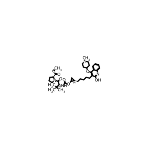 COC(=O)[C@@H]1CCCN1C(=O)[C@@H](NC(=O)OC1C[C@H]1CCCCCc1c(O)nc2ccccc2c1OC1CCN(C)CC1)C(C)(C)C